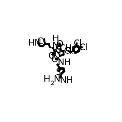 CS(=O)(=O)N[C@H](CCC1CCNCC1)C(=O)N1C[C@H](OCc2ccc(Cl)c(Cl)c2)C[C@H]1C(=O)NCc1ccc(C(=N)N)s1